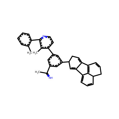 CC(=N)c1cc(-c2ccnc(-c3ccccc3C)c2C)cc(C2C=C3C(=CC2)C2=C4C3=CC=CC4CC=C2)c1